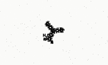 CC1C=C(c2nc(-c3ccc(-c4ccccn4)cc3)nc(-c3ccc(-c4ccccn4)cc3)n2)C=CC1c1cc(C#N)cc(C#N)c1